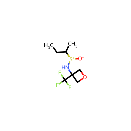 CCC(C)[S+]([O-])NC1(C(F)(F)F)COC1